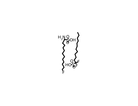 CCCCCCCCCCCC(F)(F)S(=O)(=O)O.NC(CCCCCCCCCCCF)S(=O)(=O)O